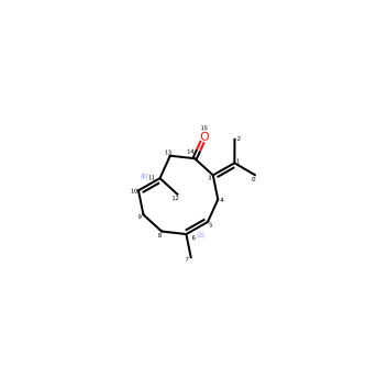 CC(C)=C1C/C=C(/C)CC/C=C(\C)CC1=O